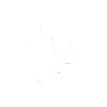 CCOC(=O)c1[nH]cnc1N=CN(C)C